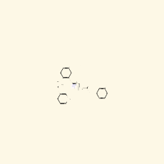 O=C(Cc1cccc(Cl)c1)N/N=C/c1cc(C(F)(F)F)ccc1S(=O)(=O)Oc1cccnc1